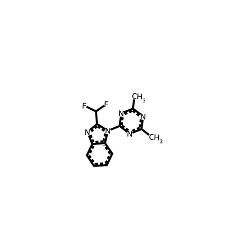 Cc1nc(C)nc(-n2c(C(F)F)nc3ccccc32)n1